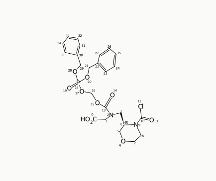 O=C(O)CN(C[C@@H]1COCCN1C(=O)Cl)C(=O)OCOP(=O)(OCc1ccccc1)OCc1ccccc1